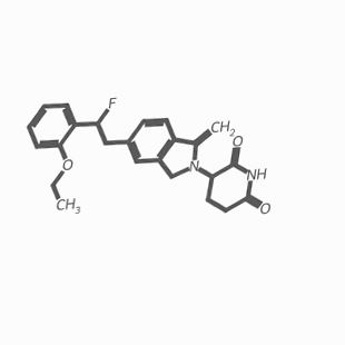 C=C1c2ccc(CC(F)c3ccccc3OCC)cc2CN1C1CCC(=O)NC1=O